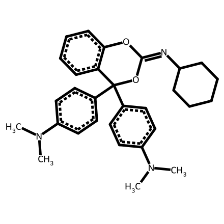 CN(C)c1ccc(C2(c3ccc(N(C)C)cc3)OC(=NC3CCCCC3)Oc3ccccc32)cc1